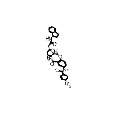 CN1C(=O)c2cc(NC(=O)c3ccc(C(F)(F)F)cc3)ccc2OC[C@@H]2O[C@H](CC(=O)N[C@H]3CCc4ccccc43)CC[C@@H]21